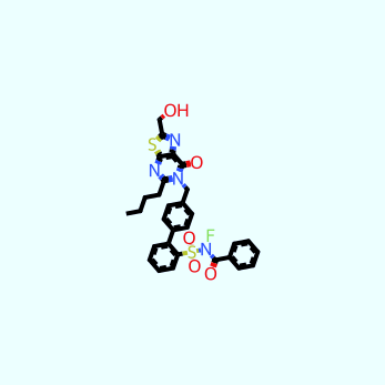 CCCCc1nc2sc(CO)nc2c(=O)n1Cc1ccc(-c2ccccc2S(=O)(=O)N(F)C(=O)c2ccccc2)cc1